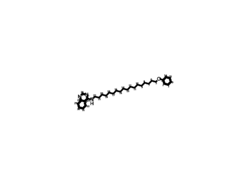 c1ccc(OCCCCCCCCCCCCCCCCCCNc2ncnc3ccccc23)cc1